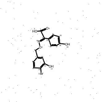 O=C(O)/C(=N/OCc1ccc(Br)c(O)c1)c1ccc(O)cc1